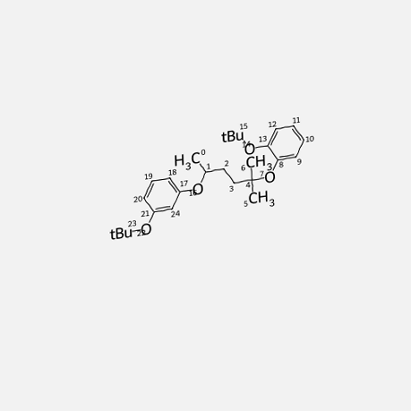 CC(CCC(C)(C)Oc1ccccc1OC(C)(C)C)Oc1cccc(OC(C)(C)C)c1